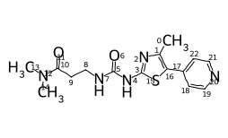 Cc1nc(NC(=O)NCCC(=O)N(C)C)sc1-c1ccncc1